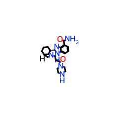 NC(=O)c1cccc2[nH]c([C@@]34CCC[C@@H](CN3CCC(=O)N3CCNCC3)C4)nc12